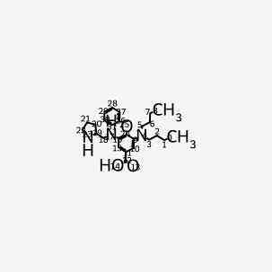 CCCCN(CCCC)c1cc(C(=O)O)cc(NCC2CCCN2)c1Oc1ccccc1